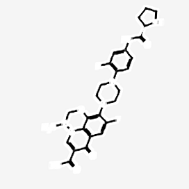 CN1COc2c(N3CCN(c4ccc(NC(=O)[C@H]5CCCN5)cc4F)CC3)c(F)cc3c(=O)c(C(=O)O)cn1c23